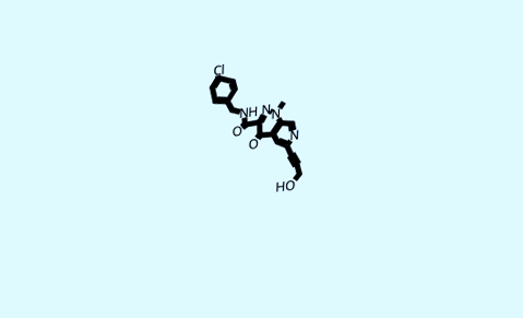 Cn1nc(C(=O)NCc2ccc(Cl)cc2)c(=O)c2cc(C#CCO)ncc21